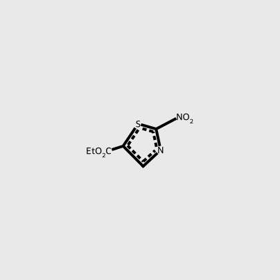 CCOC(=O)c1cnc([N+](=O)[O-])s1